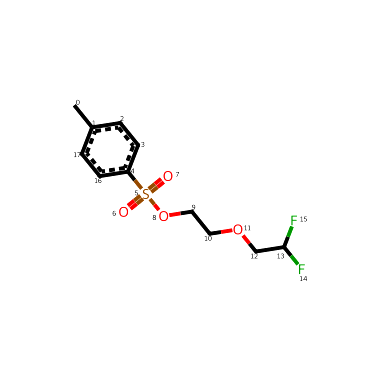 Cc1ccc(S(=O)(=O)OCCOCC(F)F)cc1